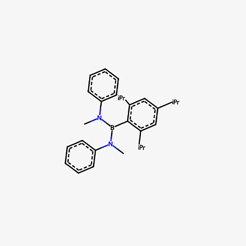 CC(C)c1cc(C(C)C)c(B(N(C)c2ccccc2)N(C)c2ccccc2)c(C(C)C)c1